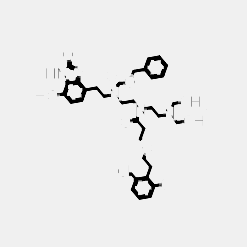 CCN(CC)CCN(CCN(CCc1ccc(O)c2[nH]c(=O)sc12)C(=O)OCc1ccccc1)C(=O)CCOCCc1c(Cl)cccc1Cl